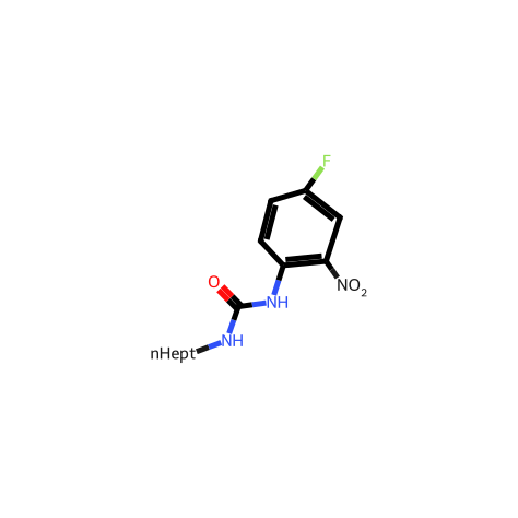 CCCCCCCNC(=O)Nc1ccc(F)cc1[N+](=O)[O-]